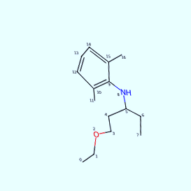 CCOCCC(CC)Nc1c(C)cccc1C